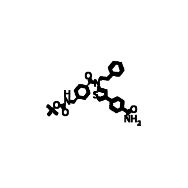 CC(C)(C)OC(=O)NC[C@H]1CC[C@H](C(=O)N(CCc2ccccc2)c2cc(-c3ccc(C(N)=O)cc3)cs2)CC1